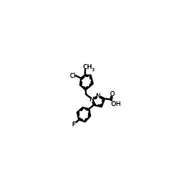 Cc1ccc(Cn2nc(C(=O)O)cc2-c2ccc(F)cc2)cc1Cl